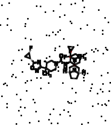 CN(CC1CC1)C1C[C@H]2CC[C@@H](C1)N2[C@H]1CCCC(F)(F)[C@@H]1NC(=O)N1CCC(C)(c2noc([C@@H]3C[C@@H]3F)n2)CC1